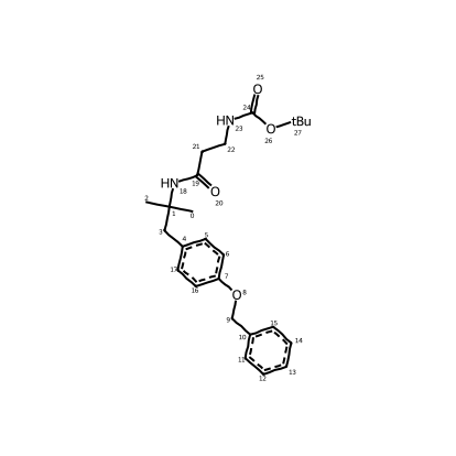 CC(C)(Cc1ccc(OCc2ccccc2)cc1)NC(=O)CCNC(=O)OC(C)(C)C